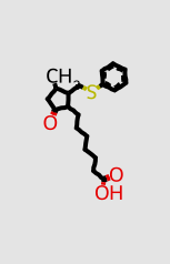 CC1CC(=O)C(CCCCCCC(=O)O)C1CSc1ccccc1